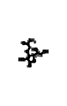 NC(=O)COC1=C(O)C(=O)O[C@@H]1[C@@H](O)CO